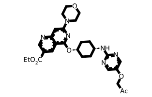 CCOC(=O)c1cnc2cc(N3CCOCC3)nc(O[C@H]3CC[C@@H](Nc4ncc(OCC(C)=O)cn4)CC3)c2c1